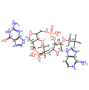 CC(C)(C)[Si](C)(C)OC1C2COP(=O)(O)O[C@@H]3C(COP(=O)(O)O[C@H]1[C@H](n1cnc4c(=O)[nH]c(N)nc41)O2)O[C@@H](n1cnc2c(N)nccc21)C3O[Si](C)(C)C(C)(C)C